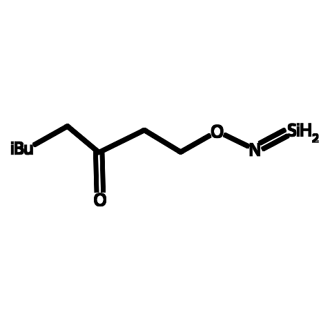 CCC(C)CC(=O)CCON=[SiH2]